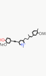 COc1cc(/C=C(\C)CCc2cc(C#Cc3ccc(O)c(OC)c3)c[n+](C)c2)ccc1C